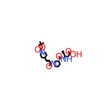 C#CC(CC(=O)O)NC(=O)[C@H]1CCCN(C(=O)/C=C/C2CCN(C(=O)OC(C)(C)C)CC2)C1